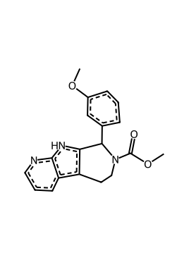 COC(=O)N1CCc2c([nH]c3ncccc23)C1c1cccc(OC)c1